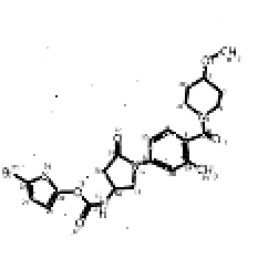 COC1CCN(C(=O)c2ccc(N3CC(NC(=O)Oc4ccc(Br)s4)CC3=O)cc2C)CC1